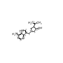 C=C(C)C1CN(Cc2c[nH]c3c(N)ncnc23)CC1O